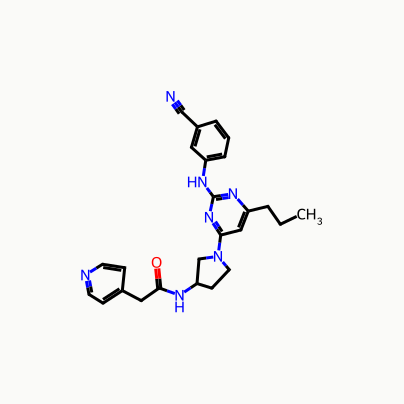 CCCc1cc(N2CCC(NC(=O)Cc3ccncc3)C2)nc(Nc2cccc(C#N)c2)n1